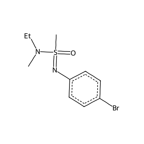 CCN(C)S(C)(=O)=Nc1ccc(Br)cc1